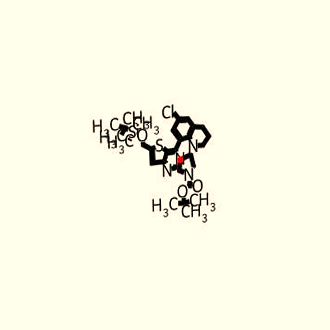 CC(C)(C)OC(=O)N1CCC(N2CCCc3cc(Cl)cc(-c4ncnc5cc(CO[Si](C)(C)C(C)(C)C)sc45)c32)C1